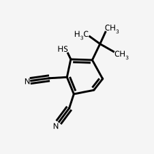 CC(C)(C)c1ccc(C#N)c(C#N)c1S